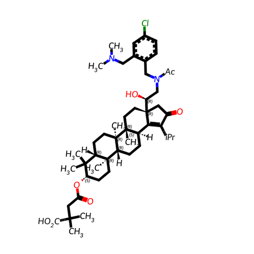 CC(=O)N(Cc1ccc(Cl)cc1CN(C)C)C[C@H](O)[C@@]12CC[C@]3(C)[C@H](CC[C@@H]4[C@@]5(C)CC[C@H](OC(=O)CC(C)(C)C(=O)O)C(C)(C)[C@@H]5CC[C@]43C)C1=C(C(C)C)C(=O)C2